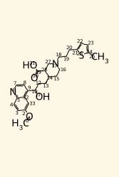 COc1ccc2nccc([C@H](O)CC[C@@H]3CCN(CCCc4ccc(C)s4)C[C@@H]3C(=O)O)c2c1